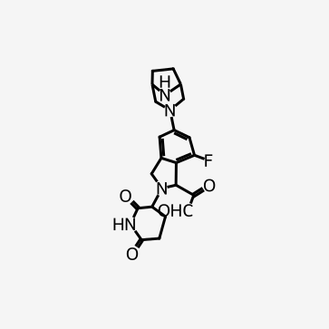 O=CC(=O)C1c2c(F)cc(N3CC4CCC(C3)N4)cc2CN1C1CCC(=O)NC1=O